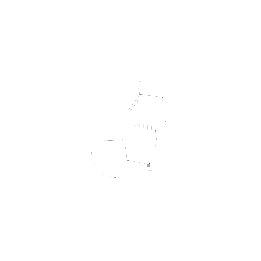 O=C1Nc2ncc(Br)cc2N2CCOCC12